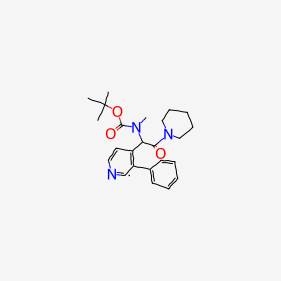 CN(C(=O)OC(C)(C)C)C(C(=O)N1CCCCC1)c1ccn[c]c1-c1ccccc1